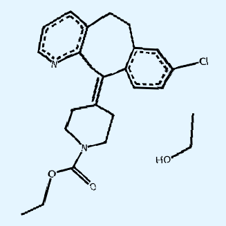 CCO.CCOC(=O)N1CCC(=C2c3ccc(Cl)cc3CCc3cccnc32)CC1